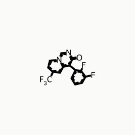 O=c1ncn2ccc(C(F)(F)F)cc2c1-c1cccc(F)c1F